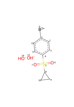 [B+2]c1ccc(S(=O)(=O)C2CC2)cc1.[OH-].[OH-]